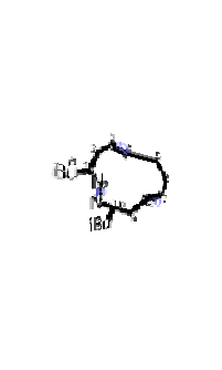 CCC(C)C1C/C=C/CC/C=C/CC(C(C)CC)/N=N/1